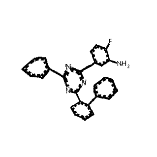 Nc1cc(-c2nc(-c3ccccc3)nc(-c3ccccc3-c3ccccc3)n2)ccc1F